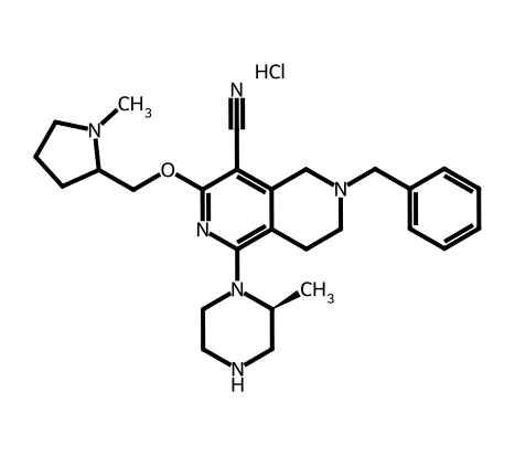 C[C@H]1CNCCN1c1nc(OCC2CCCN2C)c(C#N)c2c1CCN(Cc1ccccc1)C2.Cl